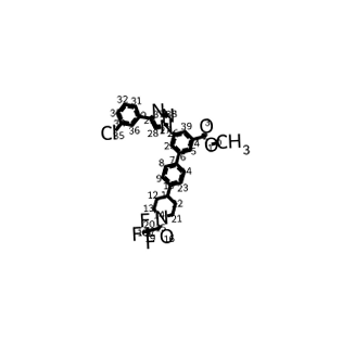 COC(=O)c1cc(-c2ccc(C3CCN(C(=O)C(F)(F)F)CC3)cc2)cc(-n2cc(-c3cccc(Cl)c3)nn2)c1